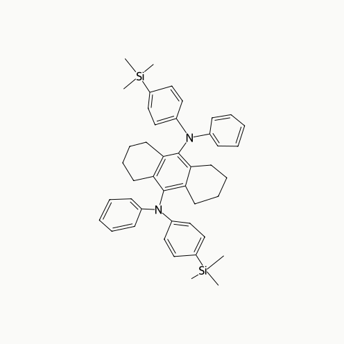 C[Si](C)(C)c1ccc(N(c2ccccc2)c2c3c(c(N(c4ccccc4)c4ccc([Si](C)(C)C)cc4)c4c2CCCC4)CCCC3)cc1